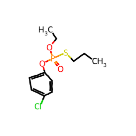 CCCSP(=O)(OCC)Oc1ccc(Cl)cc1